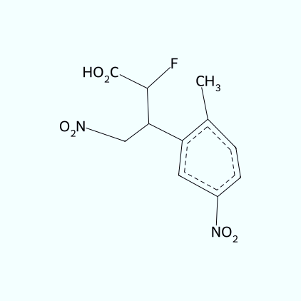 Cc1ccc([N+](=O)[O-])cc1C(C[N+](=O)[O-])C(F)C(=O)O